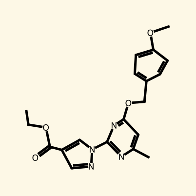 CCOC(=O)c1cnn(-c2nc(C)cc(OCc3ccc(OC)cc3)n2)c1